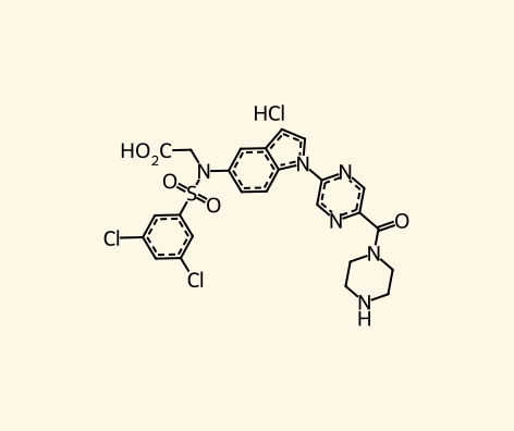 Cl.O=C(O)CN(c1ccc2c(ccn2-c2cnc(C(=O)N3CCNCC3)cn2)c1)S(=O)(=O)c1cc(Cl)cc(Cl)c1